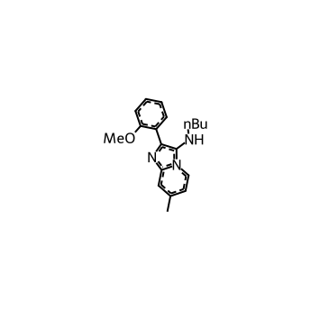 CCCCNc1c(-c2ccccc2OC)nc2cc(C)ccn12